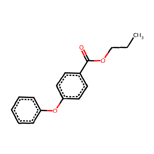 CCCOC(=O)c1ccc(Oc2ccccc2)cc1